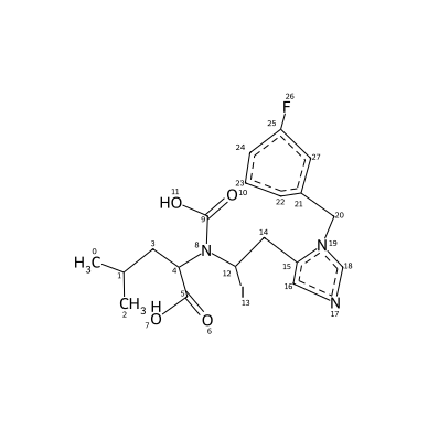 CC(C)CC(C(=O)O)N(C(=O)O)C(I)Cc1cncn1Cc1cccc(F)c1